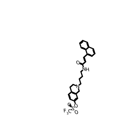 O=C(/C=C/c1cccc2ccccc12)NCCCCN1CCc2ccc(OS(=O)(=O)C(F)(F)F)cc2C1